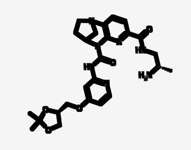 C[C@H](N)CNC(=O)c1ccc2c(n1)N(C(=O)Nc1cc(OC[C@H]3COC(C)(C)O3)ccn1)C1CCN2C1